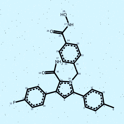 Cc1ccc(-c2cc(-c3ccc(F)cc3)c(C(N)=O)n2Cc2ccc(C(=O)NO)cc2)cc1